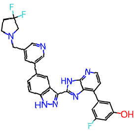 Oc1cc(F)cc(-c2ccnc3[nH]c(-c4n[nH]c5ccc(-c6cncc(CN7CCC(F)(F)C7)c6)cc45)nc23)c1